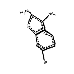 Nc1sc2cc(Br)ccc2c1N